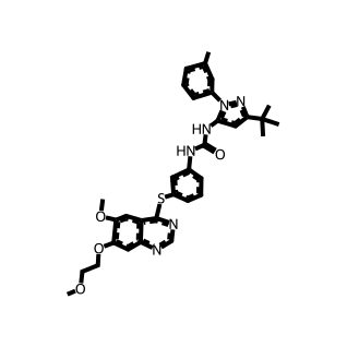 COCCOc1cc2ncnc(Sc3cccc(NC(=O)Nc4cc(C(C)(C)C)nn4-c4cccc(C)c4)c3)c2cc1OC